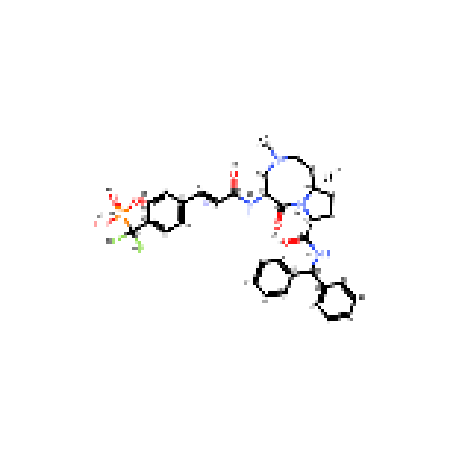 CC(=O)N1CC[C@H]2CC[C@@H](C(=O)NC(c3ccccc3)c3ccccc3)N2C(=O)[C@@H](NC(=O)/C=C/c2ccc(C(F)(F)P(=O)(O)O)cc2)C1